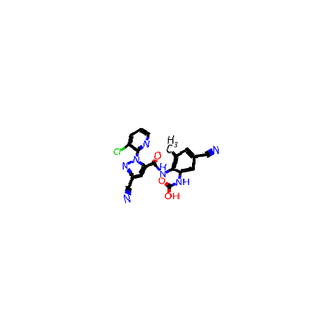 Cc1cc(C#N)cc(NC(=O)O)c1NC(=O)c1cc(C#N)nn1-c1ncccc1Cl